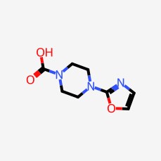 O=C(O)N1CCN(c2ncco2)CC1